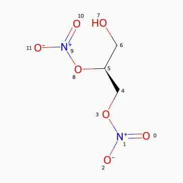 O=[N+]([O-])OC[C@H](CO)O[N+](=O)[O-]